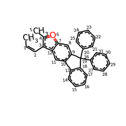 C/C=C\c1c(C)oc2cc3c(cc12)-c1ccccc1C3(c1ccccc1)c1ccccc1